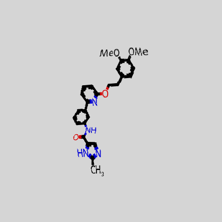 COc1ccc(CCOc2cccc(-c3cccc(NC(=O)c4cnc(C)[nH]4)c3)n2)cc1OC